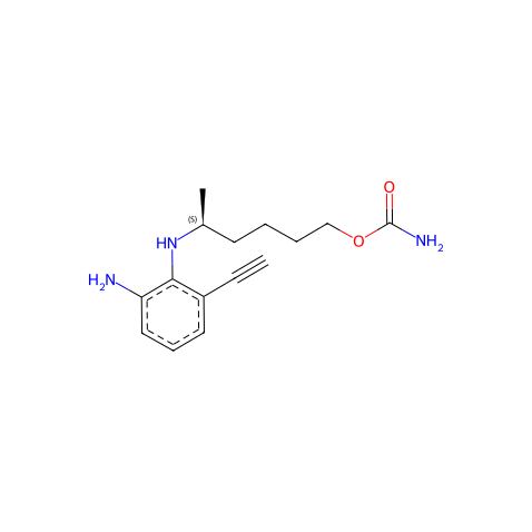 C#Cc1cccc(N)c1N[C@@H](C)CCCCOC(N)=O